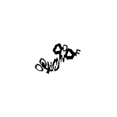 CC(C)(CN1CCN(C2=Nc3ccc(F)cc3Oc3ccccc32)CC1)C(=O)O